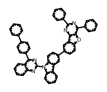 c1ccc(-c2ccc(-c3nc(-n4c5ccccc5c5cc(-c6ccc7oc8c(-c9ccccc9)nc(-c9ccccc9)nc8c7c6)ccc54)nc4ccccc34)cc2)cc1